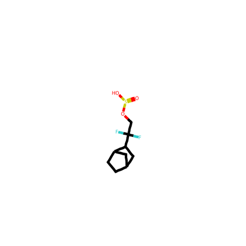 O=S(O)OCC(F)(F)C1CC2CCC1C2